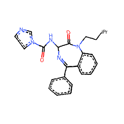 CC(C)CCN1C(=O)C(NC(=O)n2ccnc2)N=C(c2ccccc2)c2ccccc21